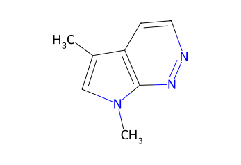 Cc1cn(C)c2nnccc12